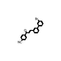 N#Cc1ccc(C(=O)/C=C/c2cccc(-c3cccc(Br)c3)c2)cc1